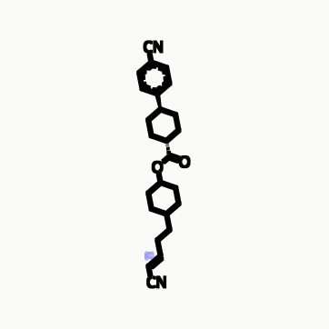 N#C/C=C/CCC1CCC(OC(=O)[C@H]2CC[C@H](c3ccc(C#N)cc3)CC2)CC1